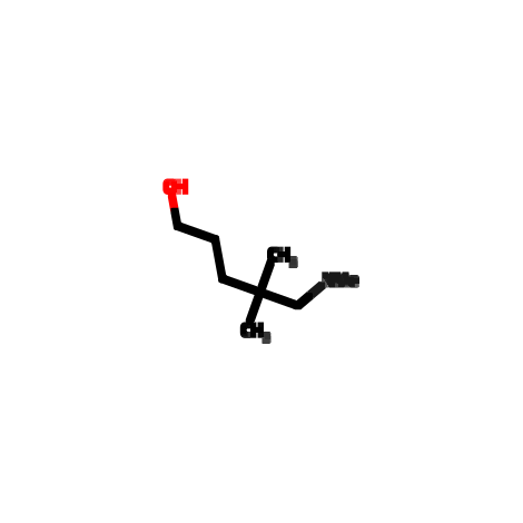 CNCC(C)(C)CCCO